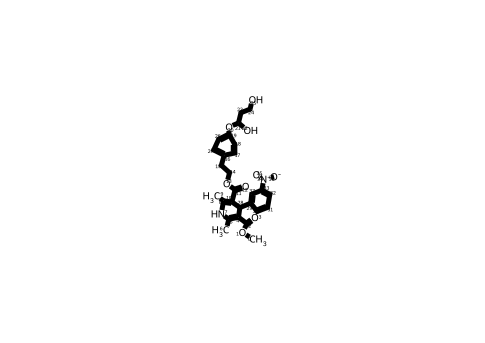 COC(=O)C1=C(C)NC(C)=C(C(=O)OCCc2ccc(OC(O)CCO)cc2)C1c1cccc([N+](=O)[O-])c1